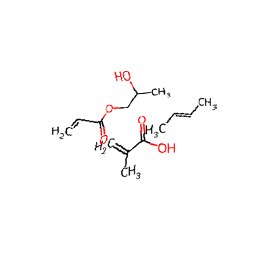 C=C(C)C(=O)O.C=CC(=O)OCC(C)O.CC=CC